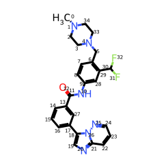 CN1CCN(Cc2ccc(NC(=O)c3cccc(-c4cnc5cccnn45)c3)cc2C(F)F)CC1